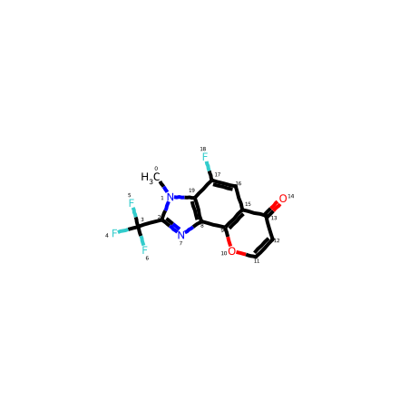 Cn1c(C(F)(F)F)nc2c3occc(=O)c3cc(F)c21